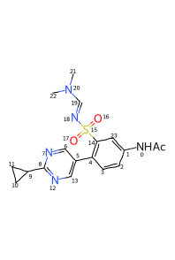 CC(=O)Nc1ccc(-c2cnc(C3CC3)nc2)c(S(=O)(=O)N=CN(C)C)c1